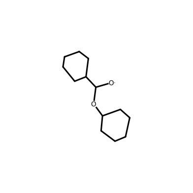 [O]C(OC1CCCCC1)C1CCCCC1